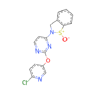 [O-][S+]1c2ccccc2CN1c1ccnc(Oc2ccc(Cl)nc2)n1